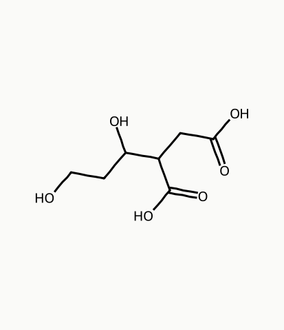 O=C(O)CC(C(=O)O)C(O)CCO